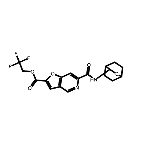 O=C(NC1CC2CCC1CC2)c1cc2oc(C(=O)OCC(F)(F)F)cc2cn1